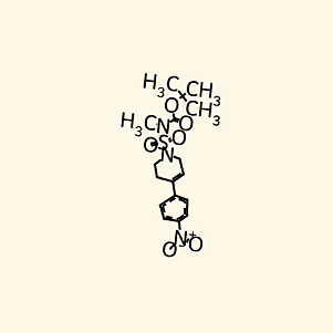 CN(C(=O)OC(C)(C)C)S(=O)(=O)N1CC=C(c2ccc([N+](=O)[O-])cc2)CC1